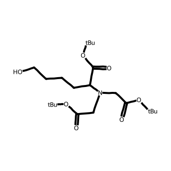 CC(C)(C)OC(=O)CN(CC(=O)OC(C)(C)C)C(CCCCO)C(=O)OC(C)(C)C